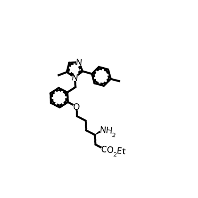 CCOC(=O)C[C@H](N)CCCOc1ccccc1Cn1c(C)cnc1-c1ccc(C)cc1